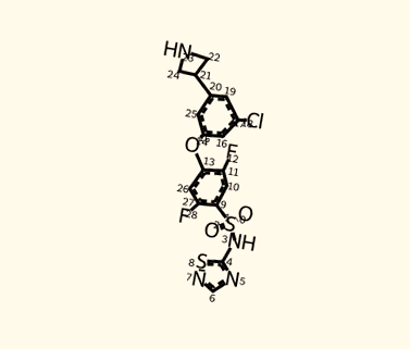 O=S(=O)(Nc1ncns1)c1cc(F)c(Oc2cc(Cl)cc(C3CNC3)c2)cc1F